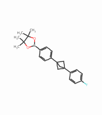 CC1(C)OB(c2ccc(C34CC(c5ccc(F)cc5)(C3)C4)cc2)OC1(C)C